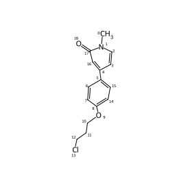 Cn1ccc(-c2ccc(OCCCCl)cc2)cc1=O